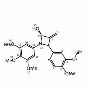 C=C1C(c2ccc(OC)c(OC(C)C)c2)N(c2cc(OC)c(OC)c(OC)c2)[C@H]1O